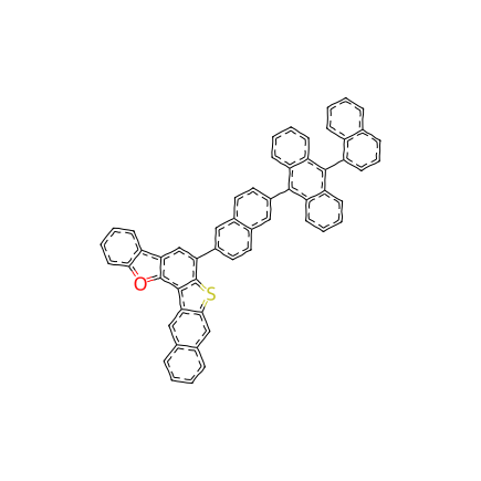 c1ccc2cc3c(cc2c1)sc1c(-c2ccc4cc(-c5c6ccccc6c(-c6cccc7ccccc67)c6ccccc56)ccc4c2)cc2c4ccccc4oc2c13